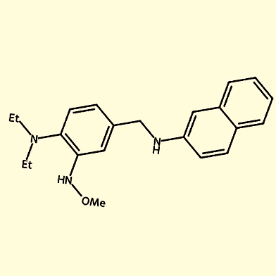 CCN(CC)c1ccc(CNc2ccc3ccccc3c2)cc1NOC